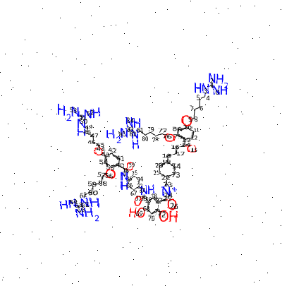 N=C(N)NCCCCCOc1ccc(C(=O)CCCC2CCC(C#[N+]C(=O)c3cc(C(=O)NC4CCC(NC(=O)c5ccc(OCCCCCNC(=N)N)cc5OCCCCCNC(=N)N)CC4)c(O)cc3O)CC2)c(OCCCCCNC(=N)N)c1